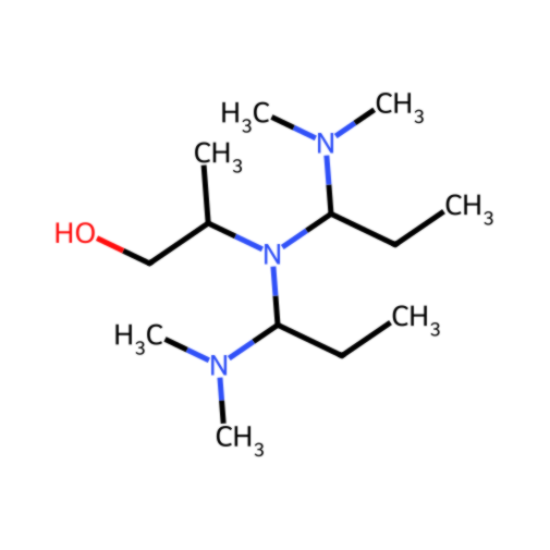 CCC(N(C)C)N(C(C)CO)C(CC)N(C)C